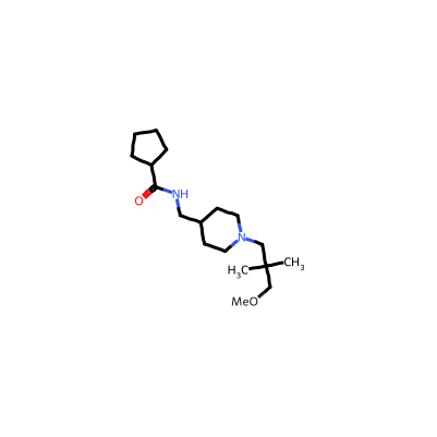 COCC(C)(C)CN1CCC(CNC(=O)C2CCCC2)CC1